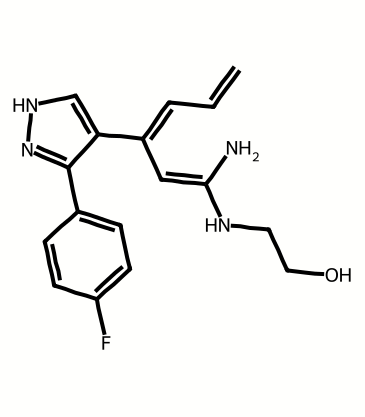 C=C/C=C(\C=C(/N)NCCO)c1c[nH]nc1-c1ccc(F)cc1